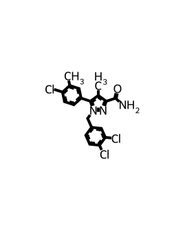 Cc1cc(-c2c(C)c(C(N)=O)nn2Cc2ccc(Cl)c(Cl)c2)ccc1Cl